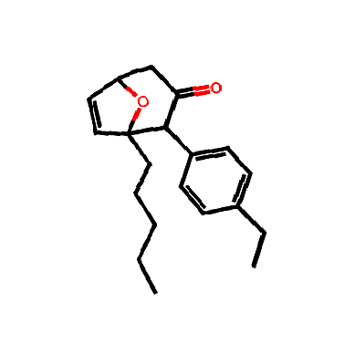 CCCCCC12C=CC(CC(=O)C1c1ccc(CC)cc1)O2